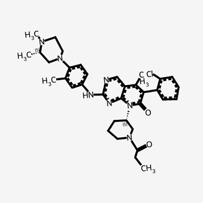 CCC(=O)N1CCC[C@H](n2c(=O)c(-c3ccccc3Cl)c(C)c3cnc(Nc4ccc(N5CCN(C)[C@@H](C)C5)c(C)c4)nc32)C1